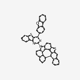 c1ccc2c3c4c(cc2c1)sc1ccc2c(c14)c1c4c-3cccc4ccc1n2-c1nc(-c2ccc3c(c2)oc2ccccc23)c2sc3ccccc3c2n1